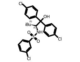 CC[C@H](C)[C@H](NS(=O)(=O)c1cccc(Cl)c1)C(O)(c1ccc(Cl)cc1)c1ccc(Cl)cc1